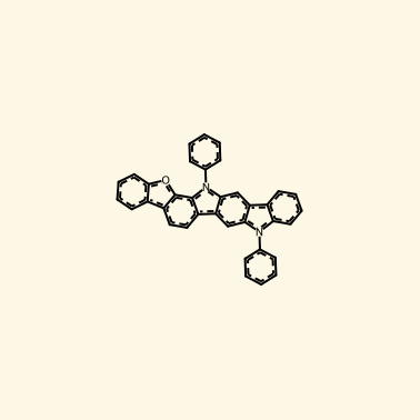 c1ccc(-n2c3ccccc3c3cc4c(cc32)c2ccc3c5ccccc5oc3c2n4-c2ccccc2)cc1